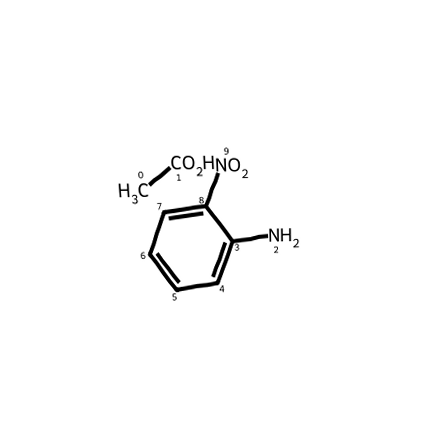 CC(=O)O.Nc1ccccc1[N+](=O)[O-]